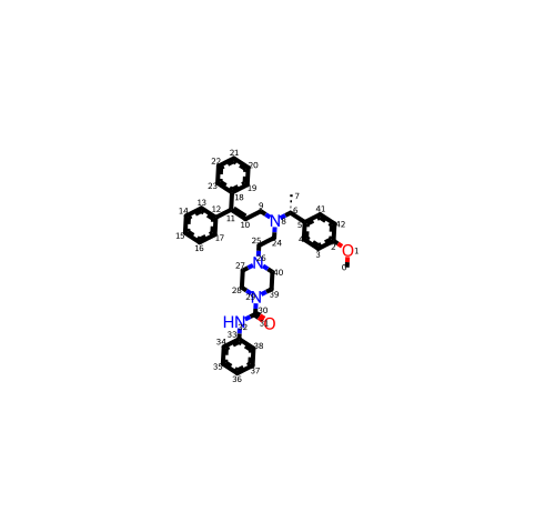 COc1ccc([C@@H](C)N(CC=C(c2ccccc2)c2ccccc2)CCN2CCN(C(=O)Nc3ccccc3)CC2)cc1